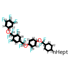 CCCCCCCC1CCC(C(F)(F)Oc2ccc(OC(F)(F)c3cc(F)c(C(F)(F)Oc4cc(F)c(F)c(F)c4)c(F)c3)c(F)c2)CC1